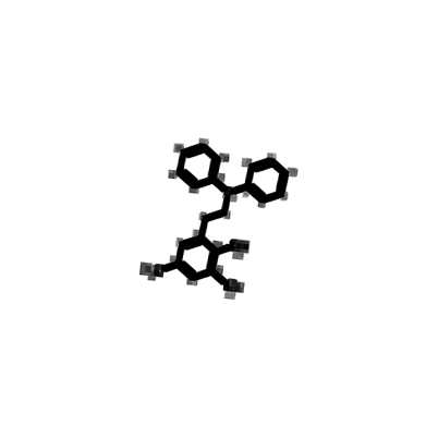 Cc1cc(CCP(c2ccccc2)c2ccccc2)c(O)c(C(C)(C)C)c1